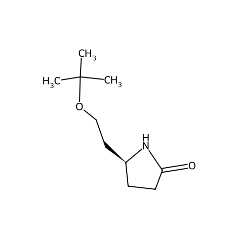 CC(C)(C)OCC[C@@H]1CCC(=O)N1